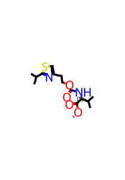 COC(=O)[C@@H](NC(=O)OCCc1csc(C(C)C)n1)C(C)C